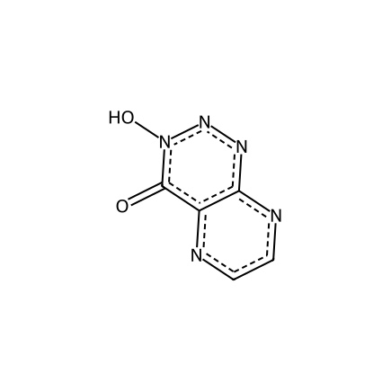 O=c1c2nccnc2nnn1O